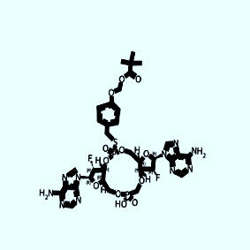 CC(C)(C)C(=O)OCOc1ccc(CSP2(=O)OC[C@H]3O[C@@H](n4cnc5c(N)ncnc54)[C@H](F)[C@@H]3OCP(=O)(O)OC[C@H]3O[C@@H](n4cnc5c(N)ncnc54)[C@H](F)[C@@H]3O2)cc1